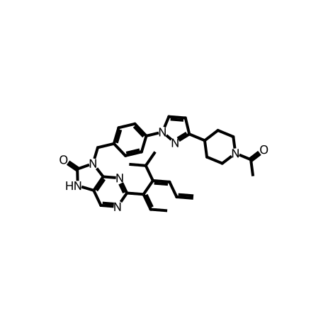 C=C/C=C(\C(=C/C)c1ncc2[nH]c(=O)n(Cc3ccc(-n4ccc(C5CCN(C(C)=O)CC5)n4)cc3)c2n1)C(C)C